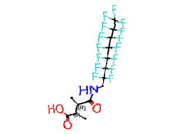 C[C@@H](C(=O)O)[C@@H](C)C(=O)NCC(F)(F)C(F)(F)C(F)(F)C(F)(F)C(F)(F)C(F)(F)C(F)(F)F